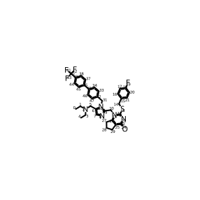 CCN(CC)Cc1cnc(Cn2c(SCc3ccc(F)cc3)nc(=O)c3c2CCC3)n1Cc1ccc(-c2ccc(C(F)(F)F)cc2)cc1